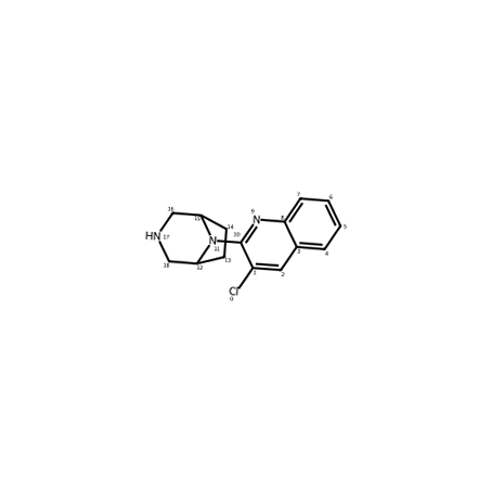 Clc1cc2ccccc2nc1N1C2CCC1CNC2